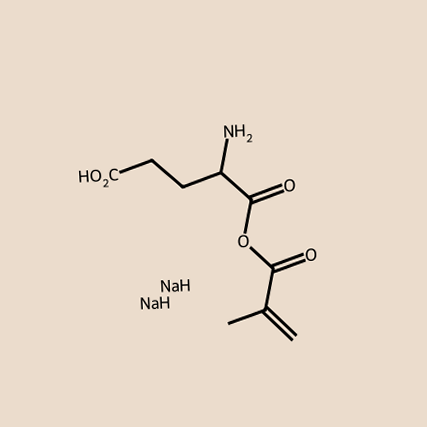 C=C(C)C(=O)OC(=O)C(N)CCC(=O)O.[NaH].[NaH]